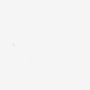 OC1(c2ccc(C=Cc3ccccc3)cc2)CN2CCC1CC2